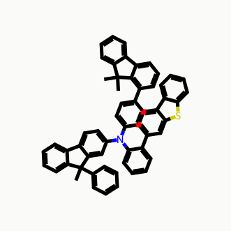 CC1(C)c2ccccc2-c2cccc(-c3ccc(N(c4ccc5c(c4)C(C)(c4ccccc4)c4ccccc4-5)c4ccccc4-c4ccc5c(c4)sc4ccccc45)cc3)c21